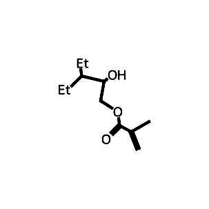 C=C(C)C(=O)OCC(O)C(CC)CC